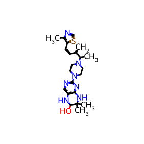 C=C(/C=C\c1scnc1C)C(C)N1CCN(c2ncc3c(n2)NC(C)(C)C(O)N3)CC1